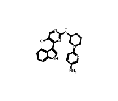 Nc1ccc(N2CCCC(Nc3ncc(Cl)c(-c4c[nH]c5ccccc45)n3)C2)nc1